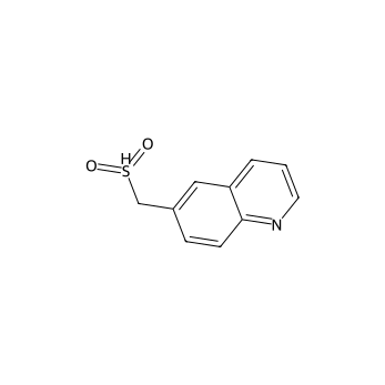 O=[SH](=O)Cc1ccc2ncccc2c1